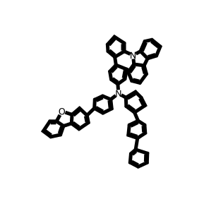 c1ccc(-c2ccc(-c3cccc(N(c4ccc(-c5ccc6c(c5)oc5ccccc56)cc4)c4ccc(-c5ccccc5-n5c6ccccc6c6ccccc65)cc4)c3)cc2)cc1